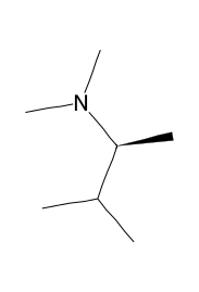 CC(C)[C@H](C)N(C)C